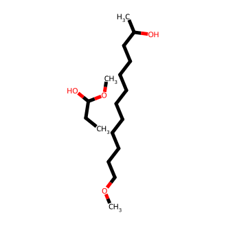 CCC(O)OC.COCCCCCCCCCCC(C)O